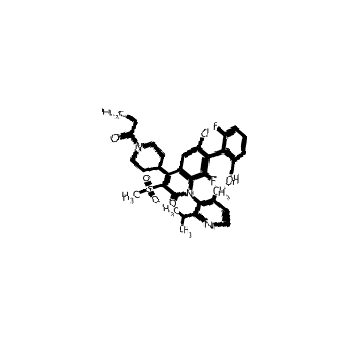 C=CC(=O)N1CCC(c2c(S(C)(=O)=O)c(=O)n(-c3c(C)ccnc3C(C)C)c3c(F)c(-c4c(O)cccc4F)c(Cl)cc23)CC1